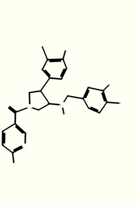 Cc1ccc(C(=O)N2CC(c3ccc(Cl)c(Cl)c3)C(N(C)Cc3ccc(C(F)(F)F)c(F)c3)C2)cn1